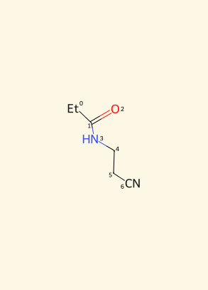 CCC(=O)NCCC#N